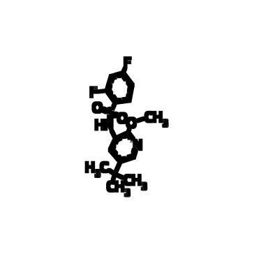 COc1ncc(C(C)(C)C)cc1NS(=O)(=O)c1ccc(F)cc1F